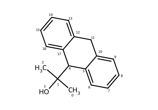 CC(C)(O)C1c2ccccc2Cc2ccccc21